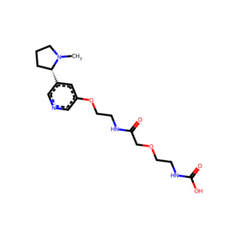 CN1CCC[C@H]1c1cncc(OCCNC(=O)COCCNC(=O)O)c1